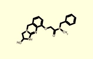 CN(Cc1ccccc1)C(=O)COc1cccc2c1N=C1NC(O)CN1C2